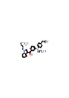 CCCCCN(c1ccc(CC(C)C)cc1)c1cccc(C(=O)c2cn(CCCC(=O)O)c3ccccc23)c1